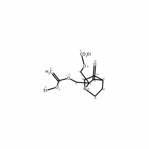 C=C(OCC)OCC1(COC(=O)OCC)C(=O)C2CCN1CC2